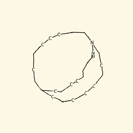 C1CCCCN2CCCCCCCCC(CCC1)CCCCCCCN2